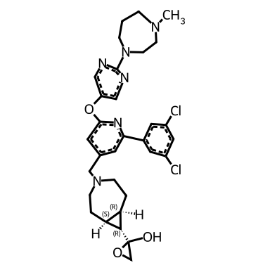 CN1CCCN(c2ncc(Oc3cc(CN4CC[C@@H]5[C@H](CC4)[C@H]5C4(O)CO4)cc(-c4cc(Cl)cc(Cl)c4)n3)cn2)CC1